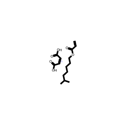 C=CC(=O)OCCCCCC(C)C.O=C(O)/C=C\C(=O)O